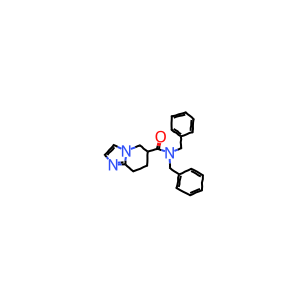 O=C(C1CCc2nccn2C1)N(Cc1ccccc1)Cc1ccccc1